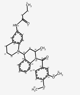 CCCC(=O)Nc1ccc2c(c1)CCCN2C1CC(C)N(C(=O)c2ccc(OC)c(OC)c2)c2ccccc21